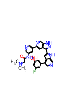 CN(C)CC(=O)Nc1cncc(-c2cc3c(-c4cc5c(-c6cc(O)cc(F)c6)cncc5[nH]4)n[nH]c3cn2)c1